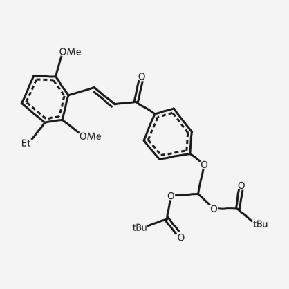 CCc1ccc(OC)c(C=CC(=O)c2ccc(OC(OC(=O)C(C)(C)C)OC(=O)C(C)(C)C)cc2)c1OC